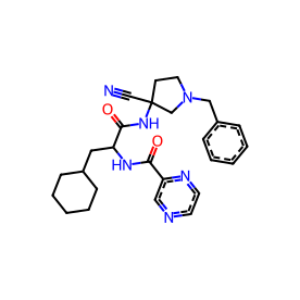 N#CC1(NC(=O)C(CC2CCCCC2)NC(=O)c2cnccn2)CCN(Cc2ccccc2)C1